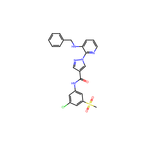 CS(=O)(=O)c1cc(Cl)cc(NC(=O)c2cnn(-c3ncccc3NCc3ccccc3)c2)c1